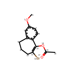 COc1ccc2c(c1)CCCC(Br)=C2OC(C)=O